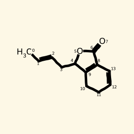 C/C=C/CC1OC(=O)C2=C1CCC=C2